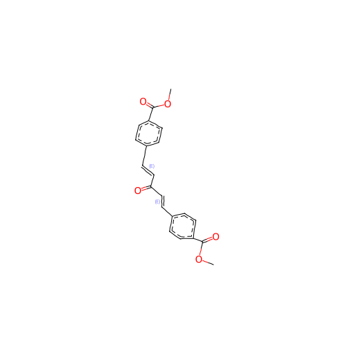 COC(=O)c1ccc(/C=C/C(=O)/C=C/c2ccc(C(=O)OC)cc2)cc1